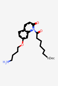 CCCCCCCCCCCCCCCC(=O)n1c(=O)ccc2ccc(OCCCCN)cc21